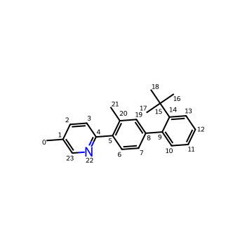 Cc1ccc(-c2ccc(-c3ccccc3C(C)(C)C)cc2C)nc1